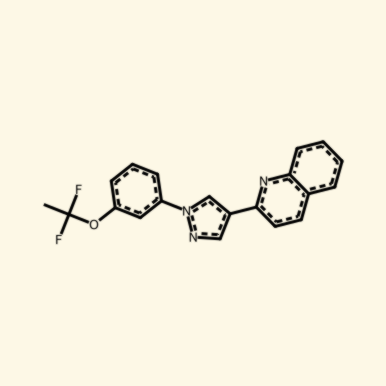 CC(F)(F)Oc1cccc(-n2cc(-c3ccc4ccccc4n3)cn2)c1